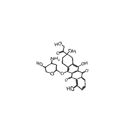 NC1CC(Oc2c3c(c(O)c4c2C(=O)c2c(O)cccc2C4=O)CC(O)(C(=O)CO)CC3)OCC1O